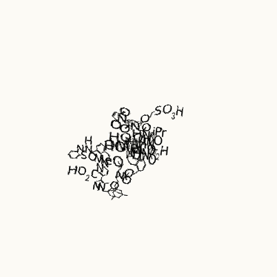 COCCN(CCOC12CC3(C)CC(C)(CC(Cn4ncc(-c5ccc(N6CCc7c(OC)ccc(C(=O)Nc8nc9ccccc9s8)c7C6)nc5C(=O)O)c4C)(C3)C1)C2)C(=O)OCc1ccc(NC(=O)[C@H](C)NC(=O)[C@@H](NC(=O)CN2C(=O)[C@@H](N3C(=O)C=CC3=O)C[C@H]2COCCS(=O)(=O)O)C(C)C)cc1CC[C@@H]1O[C@H](C(=O)O)[C@@H](O)[C@H](O)[C@H]1O